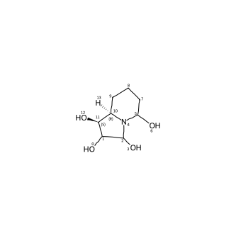 OC1C(O)N2C(O)CCC[C@@H]2[C@@H]1O